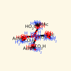 CC(=O)N[C@H]1[C@H]([C@H](OC(=O)NCCCCCCNC(=O)CN(CCN(CC(=O)NCCCCCCNC(=O)O[C@H](C(O)CO)[C@@H]2OC(C(=O)O)=C[C@H](NC(=N)N)[C@H]2NC(C)=O)CC(=O)NCCCCCCNC(=O)O[C@H](C(O)CO)[C@@H]2OC(C(=O)O)=C[C@H](NC(=N)N)[C@H]2NC(C)=O)CC(=O)NCCCCCCNC(=O)O[C@H](C(O)CO)[C@@H]2OC(C(=O)O)=C[C@H](NC(=N)N)[C@H]2NC(C)=O)C(O)CO)OC(C(C)=O)=C[C@@H]1NC(=N)N